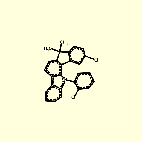 CC1(C)c2ccc(Cl)cc2-c2c1ccc1c3ccccc3n(-c3ccccc3Cl)c21